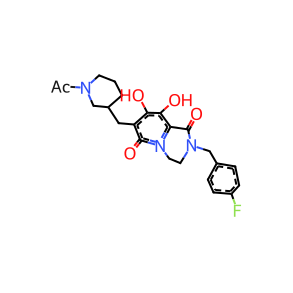 CC(=O)N1CCCC(Cc2c(O)c(O)c3n(c2=O)CCN(Cc2ccc(F)cc2)C3=O)C1